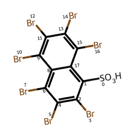 O=S(=O)(O)c1c(Br)c(Br)c(Br)c2c(Br)c(Br)c(Br)c(Br)c12